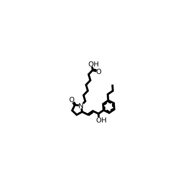 CCCc1cccc(C(O)C=CC2CCC(=O)N2CCCCCCC(=O)O)c1